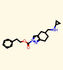 O=C(OCCc1ccccc1)n1cc2c(n1)CCC(CNC1CC1)C2